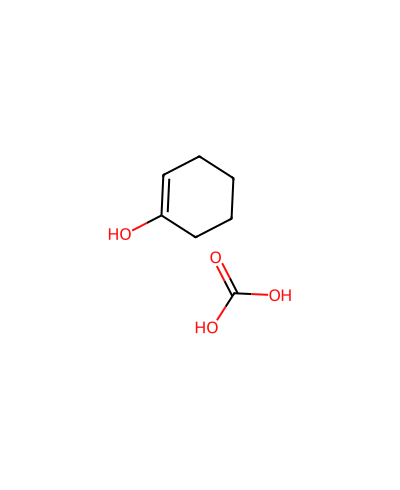 O=C(O)O.OC1=CCCCC1